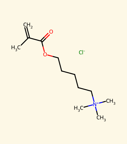 C=C(C)C(=O)OCCCCC[N+](C)(C)C.[Cl-]